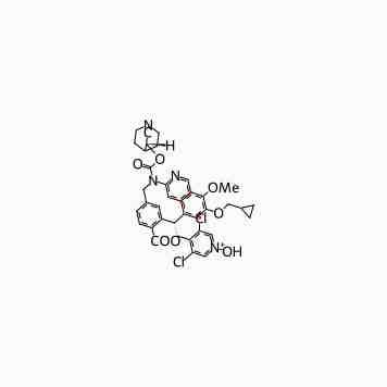 COc1ccc([C@H](Cc2c(Cl)c[n+](O)cc2Cl)c2cc(CN(C(=O)O[C@H]3CN4CCC3CC4)c3ccccn3)ccc2C(=O)[O-])cc1OCC1CC1